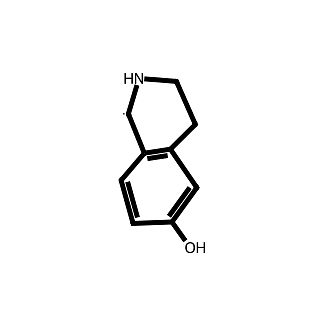 Oc1ccc2c(c1)CCN[CH]2